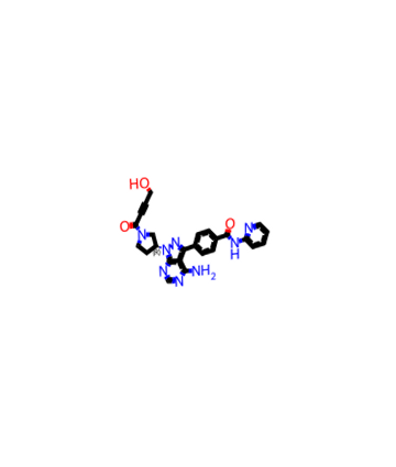 Nc1ncnc2c1c(-c1ccc(C(=O)Nc3ccccn3)cc1)nn2[C@@H]1CCN(C(=O)C#CCO)C1